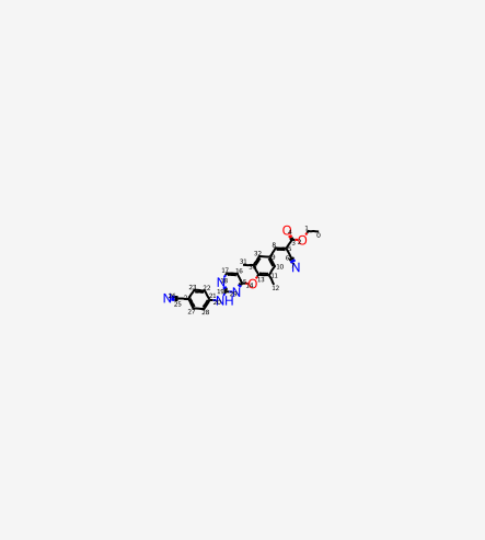 CCOC(=O)/C(C#N)=C/c1cc(C)c(Oc2ccnc(Nc3ccc(C#N)cc3)n2)c(C)c1